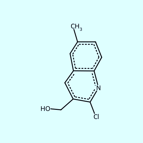 Cc1ccc2nc(Cl)c(CO)cc2c1